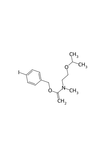 C=C(OCc1ccc(I)cc1)N(C)CCOC(C)C